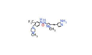 CN1CCN(Cc2ccc(NC(=O)Nc3cc(C#Cc4ccnc(N)c4)n(C)n3)cc2C(F)(F)F)CC1